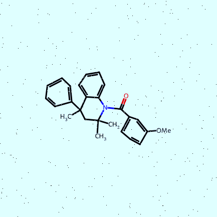 COc1cccc(C(=O)N2c3ccccc3C(C)(c3ccccc3)CC2(C)C)c1